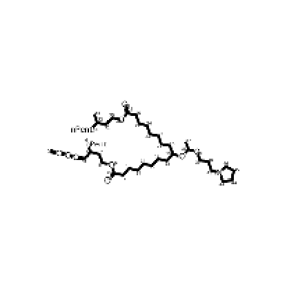 C=C=C=C=CC(CCCCC)CCOC(=O)CCCCCCCC(CCCCCCCC(=O)OCCC(C)CCCCC)OC(C)OCCCN1CCCC1